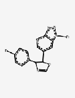 CC(C)n1nnc2ccc(C3OC=NC3c3ccc(F)cc3)cc21